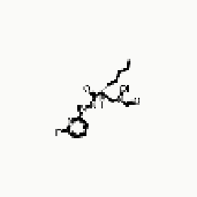 CCCCC[C@H](CN(O)C=O)C(=O)NNc1cccc(F)n1